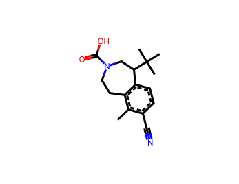 Cc1c(C#N)ccc2c1CCN(C(=O)O)CC2C(C)(C)C